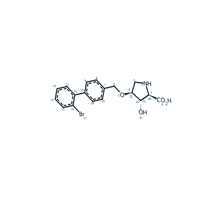 O=C(O)[C@@H]1NC[C@H](OCc2ccc(-c3ccccc3Br)cc2)[C@H]1O